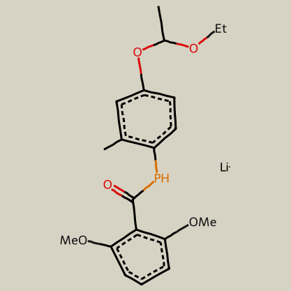 CCOC(C)Oc1ccc(PC(=O)c2c(OC)cccc2OC)c(C)c1.[Li]